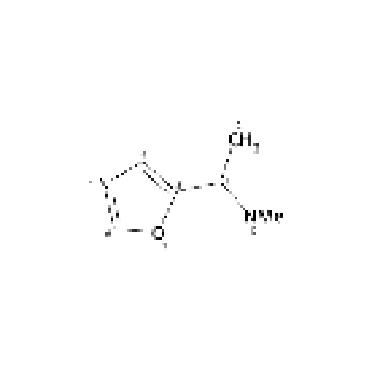 CNC(C)c1cnco1